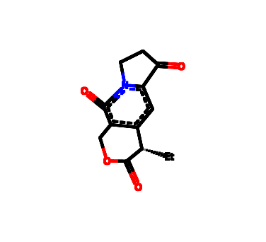 CC[C@@H]1C(=O)OCc2c1cc1n(c2=O)CCC1=O